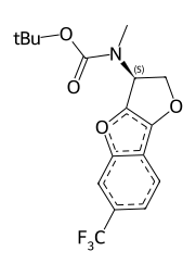 CN(C(=O)OC(C)(C)C)[C@H]1COc2c1oc1cc(C(F)(F)F)ccc21